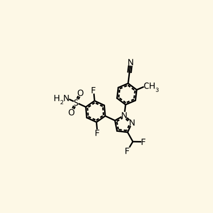 Cc1cc(-n2nc(C(F)F)cc2-c2cc(F)c(S(N)(=O)=O)cc2F)ccc1C#N